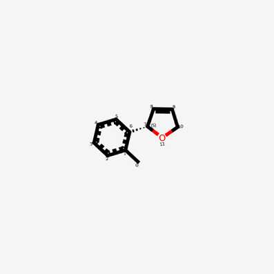 Cc1ccccc1[C@@H]1C=CCO1